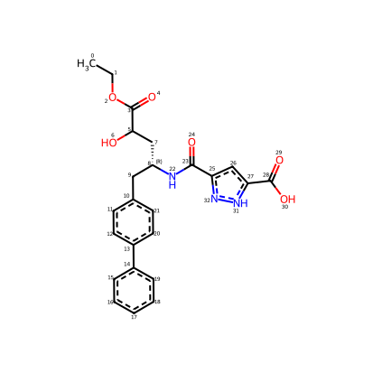 CCOC(=O)C(O)C[C@@H](Cc1ccc(-c2ccccc2)cc1)NC(=O)c1cc(C(=O)O)[nH]n1